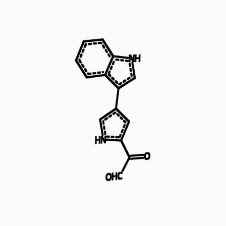 O=CC(=O)c1cc(-c2c[nH]c3ccccc23)c[nH]1